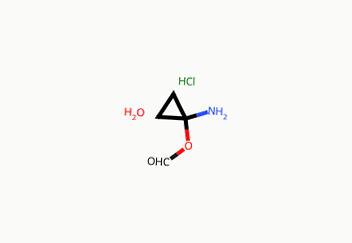 Cl.NC1(OC=O)CC1.O